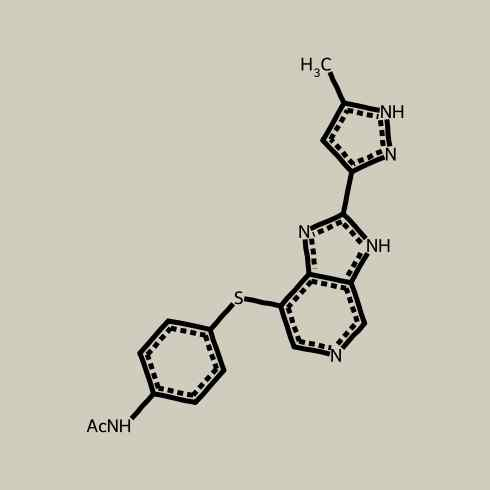 CC(=O)Nc1ccc(Sc2cncc3[nH]c(-c4cc(C)[nH]n4)nc23)cc1